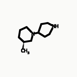 C[C@@H]1CCCN(C2CCNCC2)C1